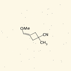 COC=C1CC(C)(C#N)C1